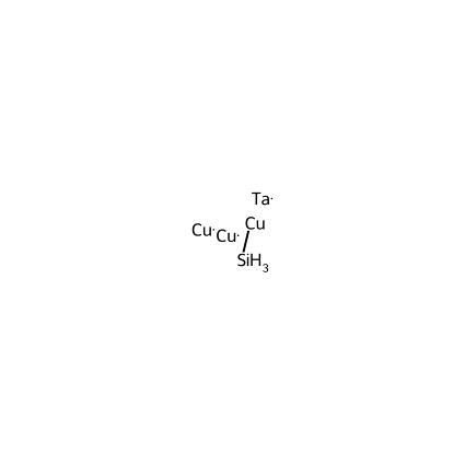 [Cu].[Cu].[SiH3][Cu].[Ta]